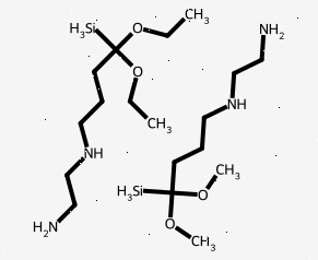 CCOC([SiH3])(CCCNCCN)OCC.COC([SiH3])(CCCNCCN)OC